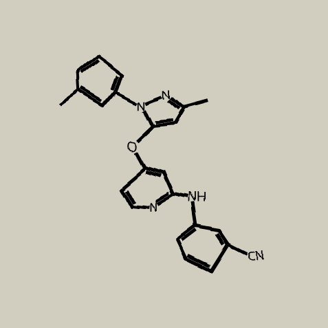 Cc1cccc(-n2nc(C)cc2Oc2ccnc(Nc3cccc(C#N)c3)c2)c1